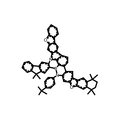 CC(C)(C)c1ccc(N2B3c4cc5c(cc4-n4c6cc7oc8ccccc8c7cc6c6ccc(c3c64)-c3cc4c(cc32)oc2cc3c(cc24)C(C)(C)CCC3(C)C)-c2ccccc2C5(C)C)cc1